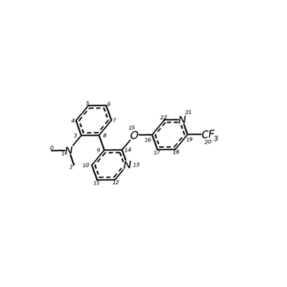 CN(C)c1ccccc1-c1cccnc1Oc1ccc(C(F)(F)F)nc1